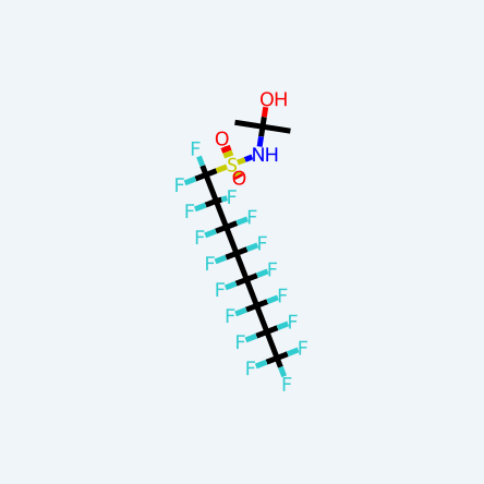 CC(C)(O)NS(=O)(=O)C(F)(F)C(F)(F)C(F)(F)C(F)(F)C(F)(F)C(F)(F)C(F)(F)C(F)(F)F